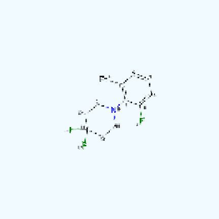 CCc1cccc(F)c1N1CCC(F)(F)CC1